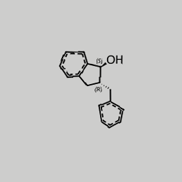 O[C@@H]1c2ccccc2C[C@H]1Cc1ccccc1